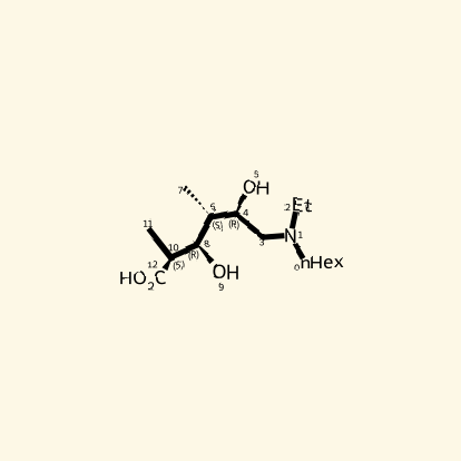 CCCCCCN(CC)C[C@H](O)[C@@H](C)[C@@H](O)[C@H](C)C(=O)O